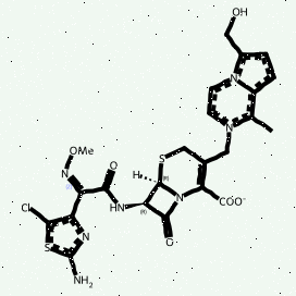 CO/N=C(\C(=O)N[C@@H]1C(=O)N2C(C(=O)[O-])=C(Cn3cc[n+]4c(CO)ccc-4c3C)CS[C@H]12)c1nc(N)sc1Cl